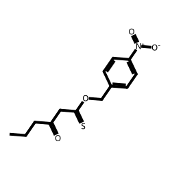 CCCC(=O)CC(=S)OCc1ccc([N+](=O)[O-])cc1